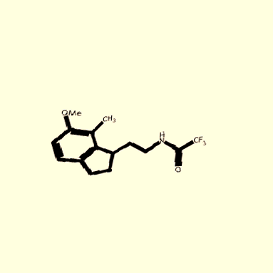 COc1ccc2c(c1C)C(CCNC(=O)C(F)(F)F)CC2